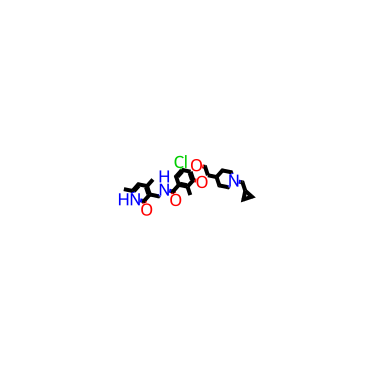 Cc1cc(C)c(CNC(=O)c2cc(Cl)c3c(c2C)OC(C2CCN(CC4CC4)CC2)CO3)c(=O)[nH]1